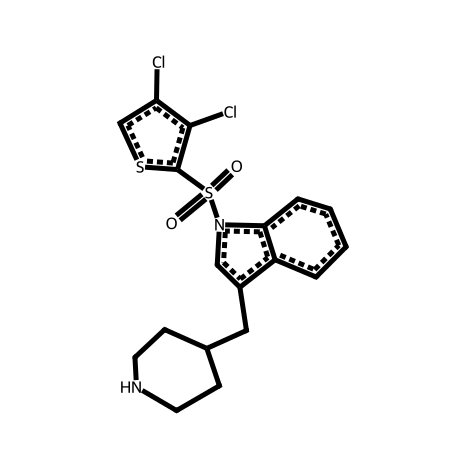 O=S(=O)(c1scc(Cl)c1Cl)n1cc(CC2CCNCC2)c2ccccc21